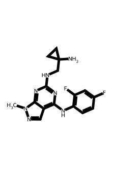 Cn1ncc2c(Nc3ccc(F)cc3F)nc(NCC3(N)CC3)nc21